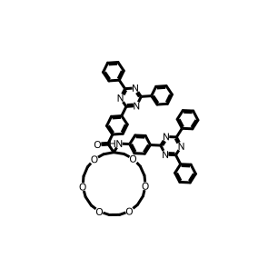 O=C(c1ccc(-c2nc(-c3ccccc3)nc(-c3ccccc3)n2)cc1)C1(Nc2ccc(-c3nc(-c4ccccc4)nc(-c4ccccc4)n3)cc2)COCCOCCOCCOCCOCCOC1